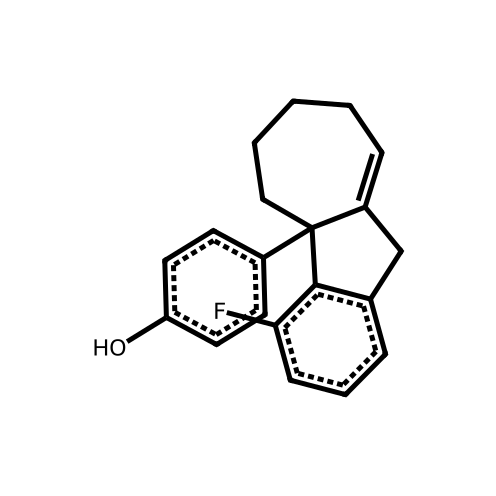 Oc1ccc(C23CCCCC=C2Cc2cccc(F)c23)cc1